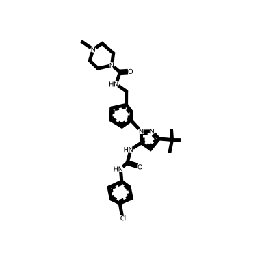 CN1CCN(C(=O)NCc2cccc(-n3nc(C(C)(C)C)cc3NC(=O)Nc3ccc(Cl)cc3)c2)CC1